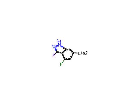 O=Cc1cc(F)c2c(I)n[nH]c2c1